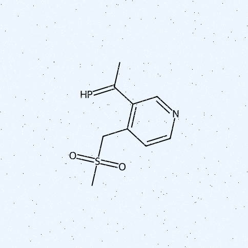 CC(=P)c1cnccc1CS(C)(=O)=O